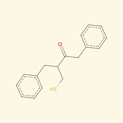 O=C(Cc1ccccc1)C(CS)Cc1ccccc1